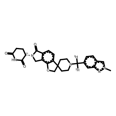 [2H]C([2H])(c1ccc2cn(C)nc2c1)N1CCC2(CC1)COc1c2ccc2c1CN([C@H]1CCC(=O)NC1=O)C2=O